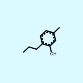 CCCc1ccc(C)cc1O